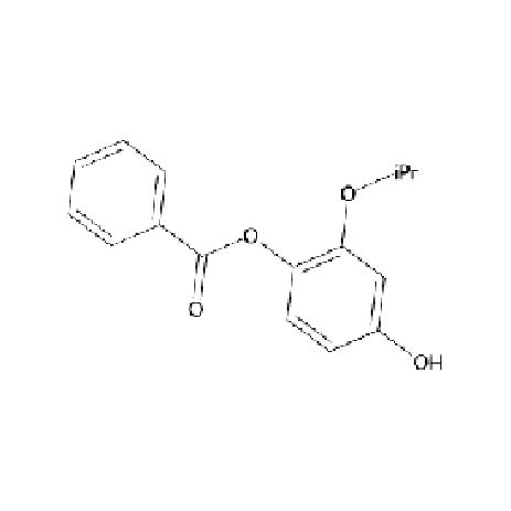 CC(C)Oc1cc(O)ccc1OC(=O)c1ccccc1